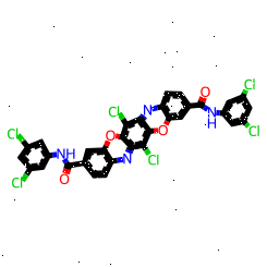 O=C(Nc1cc(Cl)cc(Cl)c1)c1ccc2c(c1)Oc1c(Cl)c3c(c(Cl)c1=N2)Oc1cc(C(=O)Nc2cc(Cl)cc(Cl)c2)ccc1N=3